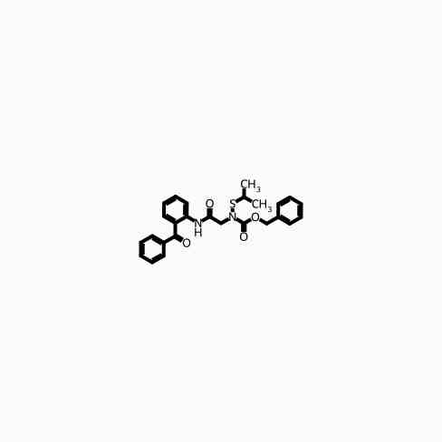 CC(C)SN(CC(=O)Nc1ccccc1C(=O)c1ccccc1)C(=O)OCc1ccccc1